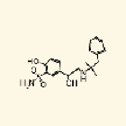 CC(C)(Cc1ccccc1)NCC(O)c1ccc(O)c(S(N)(=O)=O)c1